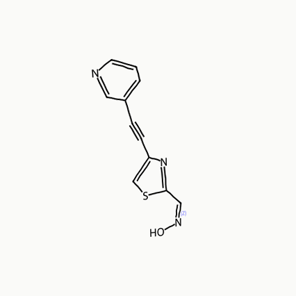 O/N=C\c1nc(C#Cc2cccnc2)cs1